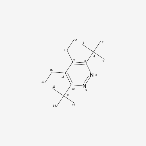 CCc1c(C(C)(C)C)nnc(C(C)(C)C)c1CC